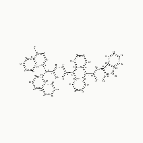 Cc1ccc(N(c2ccc(-c3c4ccccc4c(-c4ccc5sc6ccccc6c5c4)c4ccccc34)cc2)c2cccc3ccccc23)c2ccccc12